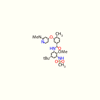 CNc1cc(Oc2cc(C(=O)Nc3cc(C(C)(C)C)cc(NS(C)(=O)=O)c3OC)ccc2C)ccn1